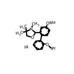 COc1ccc(-c2ccccc2OC(C)C)c(C2OCC(C)(C)N2C)c1.I